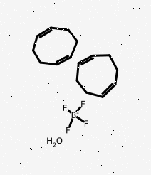 C1=CCCC=CCC1.C1=CCCC=CCC1.F[B-](F)(F)F.O